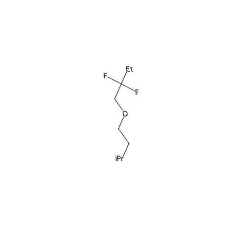 CCC(F)(F)COCCC(C)C